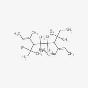 C/C=C\C(=C/C)C(C(C)(C)CN)C(C)(CC)C(C)(C)C(/C(C)=C/C)C(C)(C)C(C)C